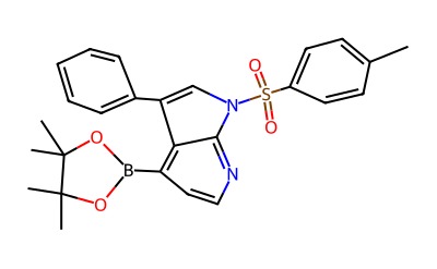 Cc1ccc(S(=O)(=O)n2cc(-c3ccccc3)c3c(B4OC(C)(C)C(C)(C)O4)ccnc32)cc1